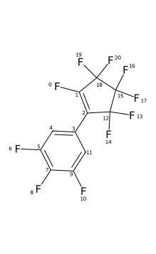 FC1=C(c2cc(F)c(F)c(F)c2)C(F)(F)C(F)(F)C1(F)F